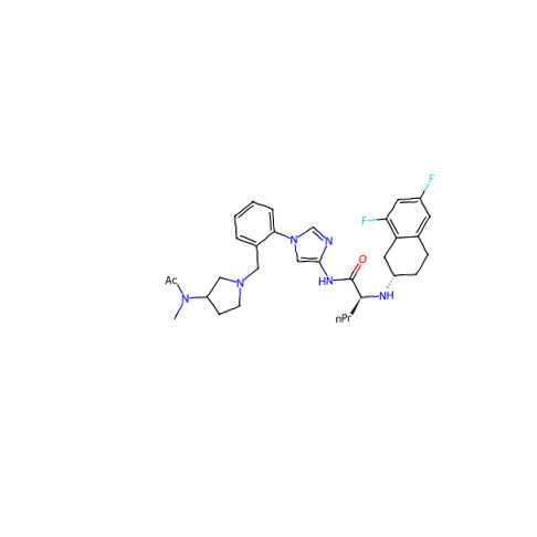 CCC[C@H](N[C@H]1CCc2cc(F)cc(F)c2C1)C(=O)Nc1cn(-c2ccccc2CN2CCC(N(C)C(C)=O)C2)cn1